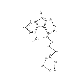 COc1cccc2c1-c1c(OCCCN3CCOCC3)cccc1C2=O